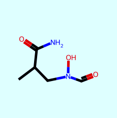 CC(CN(O)C=O)C(N)=O